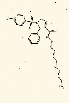 CCCCOCCOCCNC(=O)C1=CCN(S(=O)(=O)c2ccc(C)cc2)C1c1ccccc1